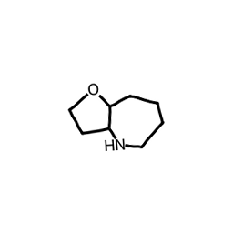 C1CCC2OCCC2NC1